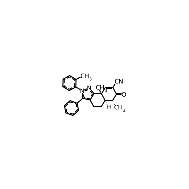 Cc1ccccc1-n1nc2c(c1-c1ccccc1)CC[C@@H]1[C@@H](C)C(=O)C(C#N)=C[C@@]21C